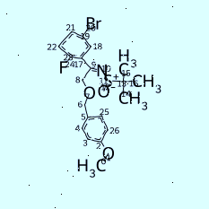 COc1ccc(COCC(=N[S+]([O-])C(C)(C)C)c2cc(Br)ccc2F)cc1